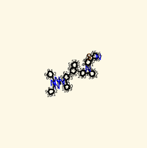 c1ccc(-c2nc(-c3ccccc3)nc(-n3c4ccccc4c4cc(-c5cc(-c6ccc7c8ccccc8n(-c8ccc9sc%10ccncc%10c9c8)c7c6)c6ccccc6c5)ccc43)n2)cc1